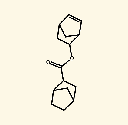 O=C(OC1CC2C=CC1C2)C1CC2CCC1C2